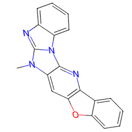 Cn1c2cc3oc4ccccc4c3nc2n2c3ccccc3nc12